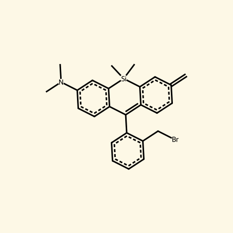 C=c1ccc2c(c1)[Si](C)(C)c1cc(N(C)C)ccc1C=2c1ccccc1CBr